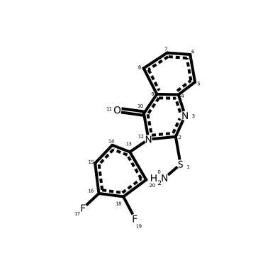 NSc1nc2ccccc2c(=O)n1-c1ccc(F)c(F)c1